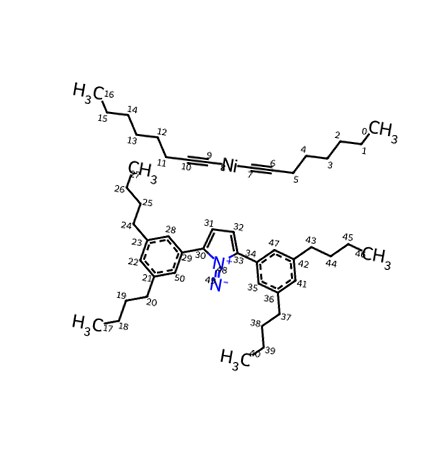 CCCCCCC#[C][Ni][C]#CCCCCCC.CCCCc1cc(CCCC)cc(C2=CC=C(c3cc(CCCC)cc(CCCC)c3)[N+]2=[N-])c1